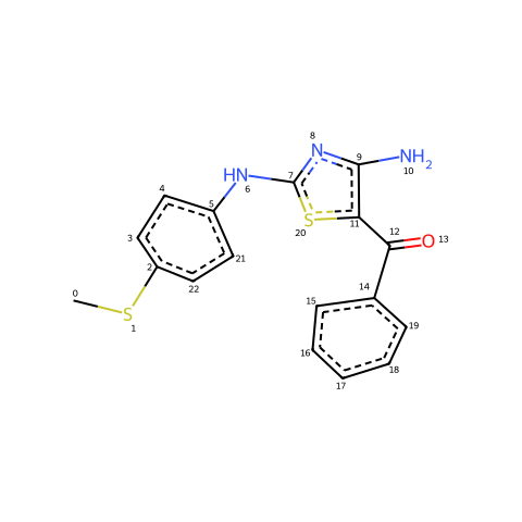 CSc1ccc(Nc2nc(N)c(C(=O)c3ccccc3)s2)cc1